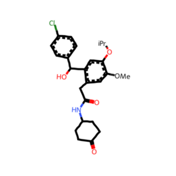 COc1cc(CC(=O)NC2CCC(=O)CC2)c(C(O)c2ccc(Cl)cc2)cc1OC(C)C